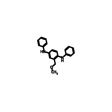 COCc1cc(Nc2ccccc2)ccc1Nc1ccccc1